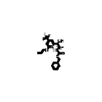 C=CCOc1cc(C(F)(F)F)cc([C@@H](O)[C@H](C)NC(=O)OCc2ccccc2)n1